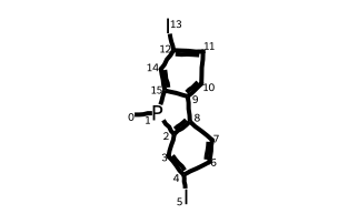 Cp1c2cc(I)ccc2c2ccc(I)cc21